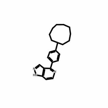 c1cc2[nH]ncc2c(-c2ccc(C3CCCCCCCCC3)cc2)n1